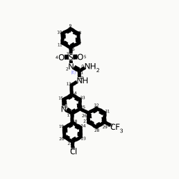 N/C(=N\S(=O)(=O)c1ccccc1)NCc1cnc(-c2ccc(Cl)cc2)c(-c2ccc(C(F)(F)F)cc2)c1